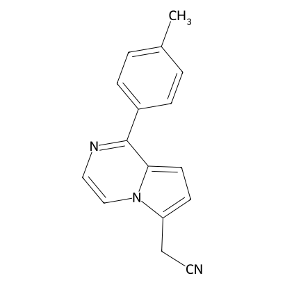 Cc1ccc(-c2nccn3c(CC#N)ccc23)cc1